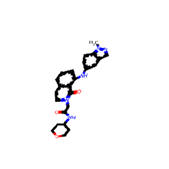 Cn1ncc2cc(Nc3cccc4ccn(CC(=O)NC5CCOCC5)c(=O)c34)ccc21